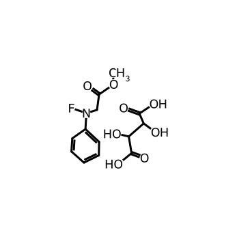 COC(=O)CN(F)c1ccccc1.O=C(O)C(O)C(O)C(=O)O